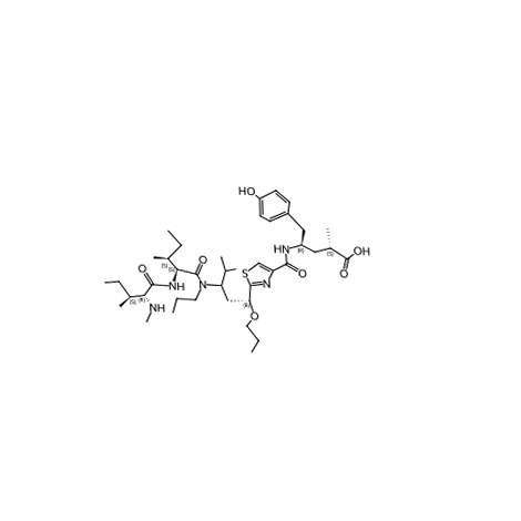 CCCO[C@H](CC(C(C)C)N(CCC)C(=O)[C@@H](NC(=O)[C@H](NC)[C@@H](C)CC)[C@@H](C)CC)c1nc(C(=O)N[C@@H](Cc2ccc(O)cc2)C[C@H](C)C(=O)O)cs1